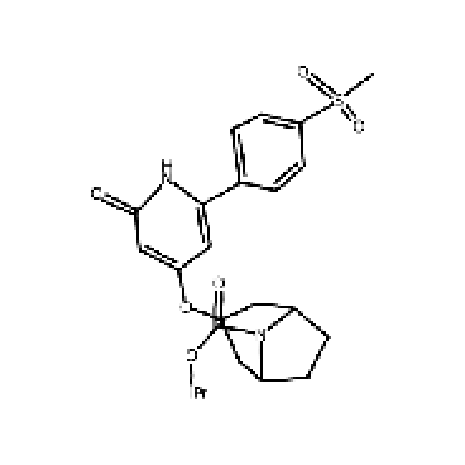 CC(C)OC(=O)N1C2CCC1CC(Oc1cc(-c3ccc(S(C)(=O)=O)cc3)[nH]c(=O)c1)C2